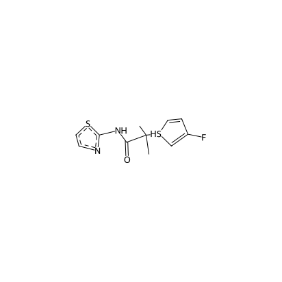 CC(C)(C(=O)Nc1nccs1)[SH]1C=CC(F)=C1